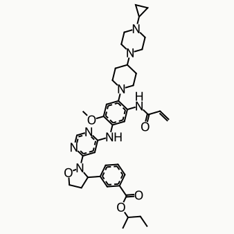 C=CC(=O)Nc1cc(Nc2cc(N3OCCC3c3cccc(C(=O)OC(C)CC)c3)ncn2)c(OC)cc1N1CCC(N2CCN(C3CC3)CC2)CC1